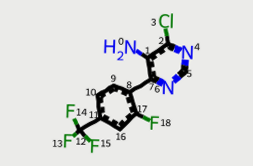 Nc1c(Cl)ncnc1-c1ccc(C(F)(F)F)cc1F